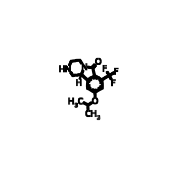 CC(C)Oc1cc2c(c(C(F)(F)F)c1)C(=O)N1CCNC[C@@H]21